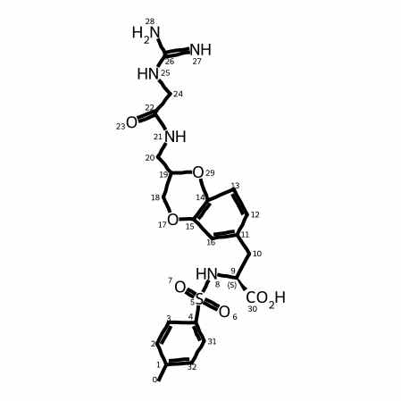 Cc1ccc(S(=O)(=O)N[C@@H](Cc2ccc3c(c2)OCC(CNC(=O)CNC(=N)N)O3)C(=O)O)cc1